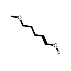 COCCCC=COF